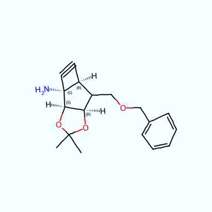 CC1(C)O[C@@H]2C(COCc3ccccc3)[C@@H]3C#C[C@]3(N)[C@@H]2O1